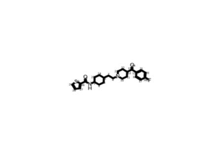 O=C(NC1CCC(CCN2CCC(C(=O)c3ccc(F)cc3)CC2)CC1)c1cccs1